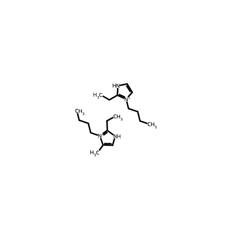 CCCC[n+]1c(C)c[nH]c1CC.CCCC[n+]1cc[nH]c1CC